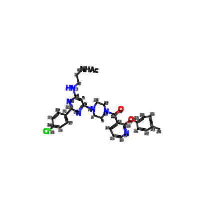 CC(=O)NCCNc1cc(N2CCN(C(=O)c3cccnc3Oc3ccc(C)cc3)CC2)nc(-c2ccc(Cl)cc2)n1